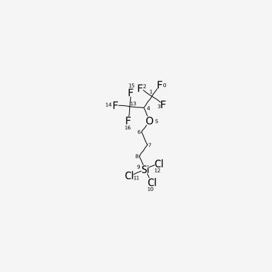 FC(F)(F)C(OCCC[Si](Cl)(Cl)Cl)C(F)(F)F